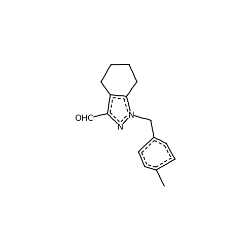 Cc1ccc(Cn2nc(C=O)c3c2CCCC3)cc1